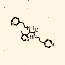 Cc1ccsc1C(NCCc1cccnc1)C(=O)NCCc1ccncc1